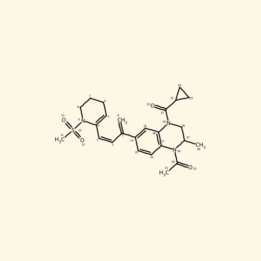 C=C(/C=C\C1=CCCCN1S(C)(=O)=O)c1ccc2c(c1)N(C(=O)C1CC1)CC(C)N2C(C)=O